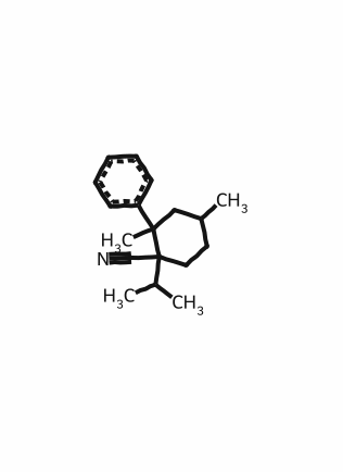 CC1CCC(C#N)(C(C)C)C(C)(c2ccccc2)C1